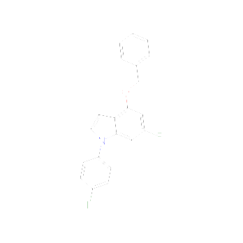 Fc1ccc(-n2ccc3c(OCc4ccccc4)cc(F)cc32)cc1